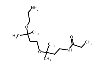 CCC(=O)NCCC(C)(C)OCCC(C)(C)OCCN